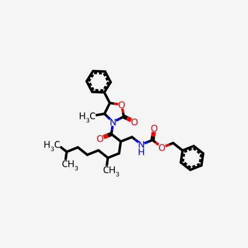 CC(C)CCCC(C)CC(CNC(=O)OCc1ccccc1)C(=O)N1C(=O)OC(c2ccccc2)C1C